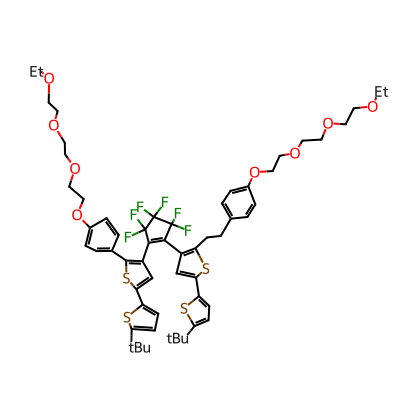 CCOCCOCCOCCOc1ccc(CCc2sc(-c3ccc(C(C)(C)C)s3)cc2C2=C(c3cc(-c4ccc(C(C)(C)C)s4)sc3-c3ccc(OCCOCCOCCOCC)cc3)C(F)(F)C(F)(F)C2(F)F)cc1